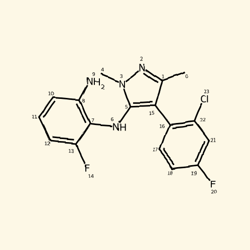 Cc1nn(C)c(Nc2c(N)cccc2F)c1-c1ccc(F)cc1Cl